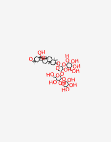 CC1(C)C2CC[C@]3(C)C(CCC45OCC6(CC[C@](C)(C=O)CC64)[C@H](O)C[C@]53C)[C@@]2(C)CC[C@@H]1OC1OCC(OC2OC(CO)C(O)C(O)C2OC2OCC(O)C(O)C2O)C(O)C1OC1CC(CO)C(O)C(O)C1O